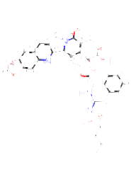 CCCCS(=O)(=O)/N=C(\Cc1ccccc1)NCC(=O)O[C@@]1(CC)c2cc3n(c(=O)c2COC1O)Cc1cc2cc4c(cc2nc1-3)OCO4